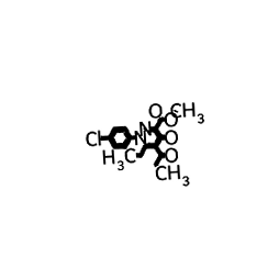 CCC(=O)c1c(CC)n(-c2ccc(Cl)cc2)nc(C(=O)OC)c1=O